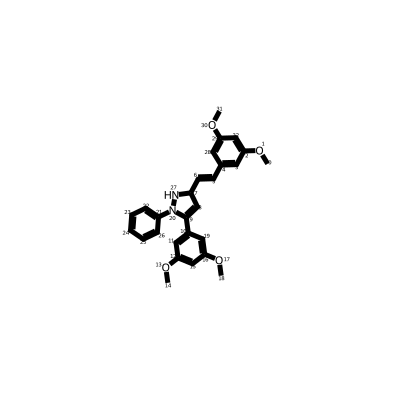 COc1cc(C=CC2C=C(c3cc(OC)cc(OC)c3)N(c3ccccc3)N2)cc(OC)c1